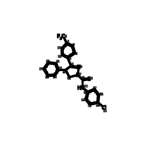 FC(F)(F)c1ccc(C2=NN(C(=S)Nc3ccc(Cl)cc3)CC2c2ccccc2)cc1